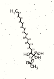 CCCCCCCCCCCCCCCCC(O)C(O)(CO)COC(C)=O